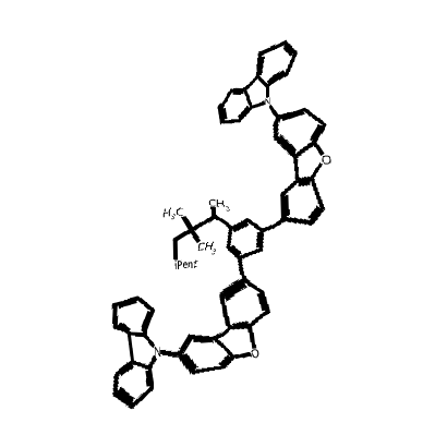 CCCC(C)CC(C)(C)C(C)c1cc(-c2ccc3oc4ccc(-n5c6ccccc6c6ccccc65)cc4c3c2)cc(-c2ccc3oc4ccc(-n5c6ccccc6c6ccccc65)cc4c3c2)c1